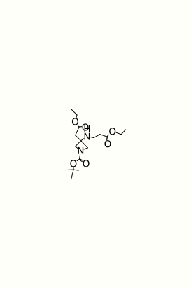 CCOC(=O)CCNC1(CC(=O)OCC)CN(C(=O)OC(C)(C)C)C1